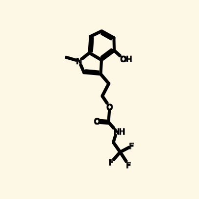 Cn1cc(CCOC(=O)NCC(F)(F)F)c2c(O)cccc21